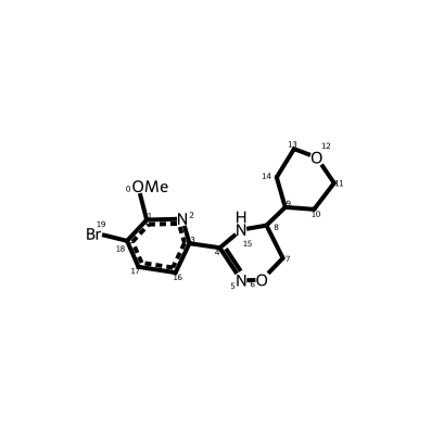 COc1nc(C2=NOCC(C3CCOCC3)N2)ccc1Br